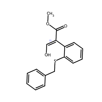 COC(=O)/C(=C/O)c1ccccc1SCc1ccccc1